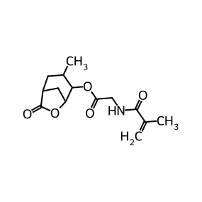 C=C(C)C(=O)NCC(=O)OC1C(C)CC2CC1OC2=O